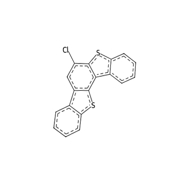 Clc1cc2c3ccccc3sc2c2c1sc1ccccc12